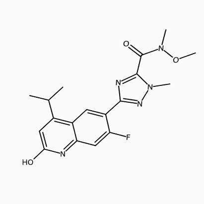 CON(C)C(=O)c1nc(-c2cc3c(C(C)C)cc(O)nc3cc2F)nn1C